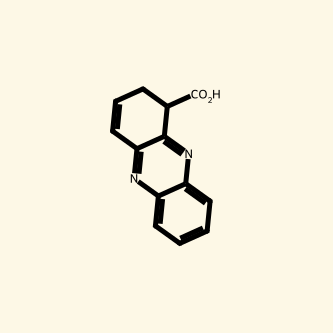 O=C(O)C1CC=Cc2nc3ccccc3nc21